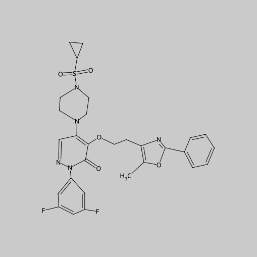 Cc1oc(-c2ccccc2)nc1CCOc1c(N2CCN(S(=O)(=O)C3CC3)CC2)cnn(-c2cc(F)cc(F)c2)c1=O